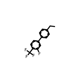 CCc1ccc(-c2ccc(C(F)(F)F)c(F)c2)cc1